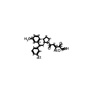 CCc1cccc(C(C[C@H]2CCCN2C(=O)/C=C(\OC(C)=O)C(=O)C=N)c2cccc(C)c2)c1